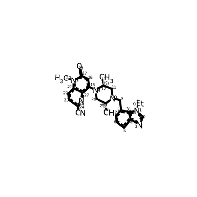 CCn1cnc2cccc(CN3C[C@H](C)N(c4cc(=O)n(C)c5ccc(C#N)nc45)C[C@H]3C)c21